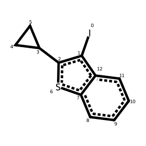 Ic1c(C2CC2)sc2ccccc12